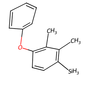 Cc1c([SiH3])ccc(Oc2ccccc2)c1C